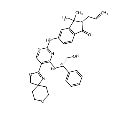 C=CCN1C(=O)c2ccc(Nc3ncc(C4=NC5(CCOCC5)CO4)c(N[C@H](CO)c4ccccc4)n3)cc2C1(C)C